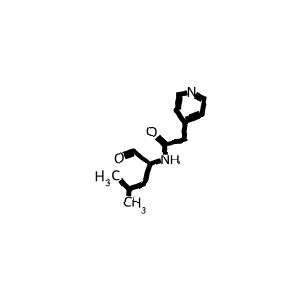 CC(C)CC(C=O)NC(=O)Cc1ccncc1